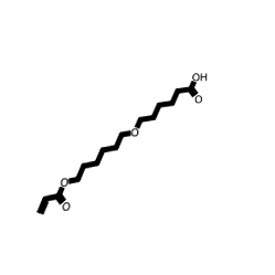 C=CC(=O)OCCCCCCOCCCCCC(=O)O